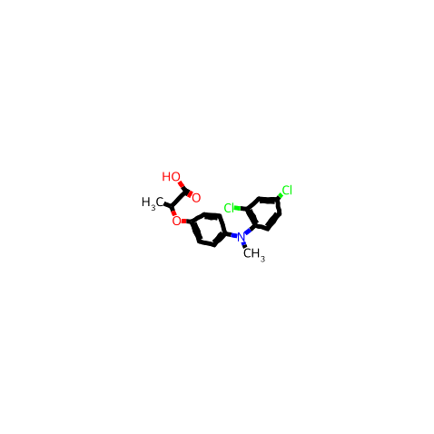 CC(Oc1ccc(N(C)c2ccc(Cl)cc2Cl)cc1)C(=O)O